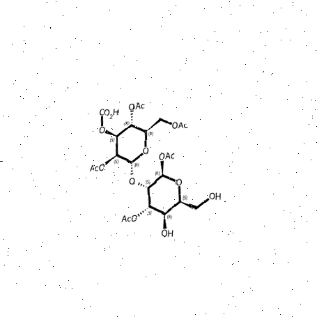 CC(=O)OC[C@H]1O[C@H](O[C@@H]2[C@@H](OC(C)=O)O[C@@H](CO)[C@@H](O)[C@@H]2OC(C)=O)[C@@H](OC(C)=O)[C@@H](OC(=O)O)[C@@H]1OC(C)=O